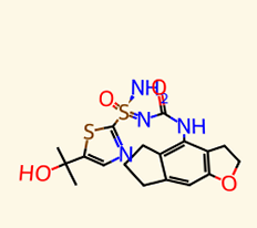 CC(C)(O)c1cnc([S@](N)(=O)=NC(=O)Nc2c3c(cc4c2CCO4)CCC3)s1